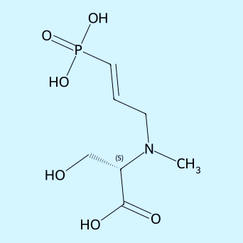 CN(CC=CP(=O)(O)O)[C@@H](CO)C(=O)O